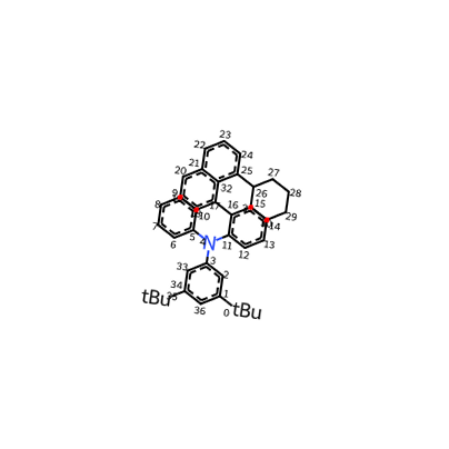 CC(C)(C)c1cc(N(c2ccccc2)c2ccccc2-c2cccc3cccc(C4CCCCC4)c23)cc(C(C)(C)C)c1